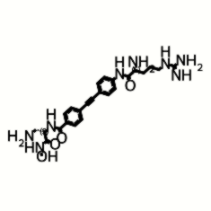 N=C(N)NCCC[C@H](N)C(=O)Nc1ccc(C#Cc2ccc(C(=O)N[C@@H](CN)C(=O)NO)cc2)cc1